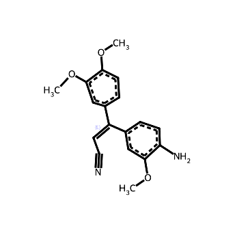 COc1cc(/C(=C\C#N)c2ccc(OC)c(OC)c2)ccc1N